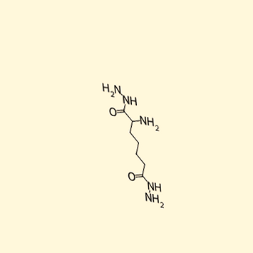 NNC(=O)CCCCC(N)C(=O)NN